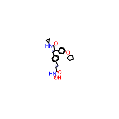 O=C(/C=C/c1ccc(/C=C(/C(=O)NC2CC2)c2ccc(OC3CCCC3)cc2)cc1)NO